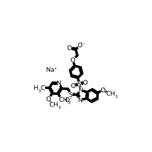 COc1ccc2nc([S+]([O-])Cc3ncc(C)c(OC)c3C)n(S(=O)(=O)c3ccc(OCC(=O)[O-])cc3)c2c1.[Na+]